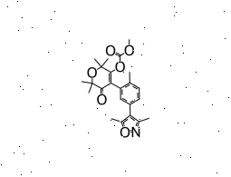 COC(=O)OC1=C(c2cc(-c3c(C)noc3C)ccc2C)C(=O)C(C)(C)OC1(C)C